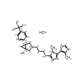 Cc1ncoc1-c1nnc(SCCCN2C[C@H]3C[C@@]3(c3ccc(C(F)(F)F)cn3)C2)n1C.Cl